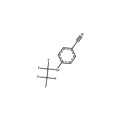 N#Cc1ccc([Se]C(F)(F)C(F)(F)F)cc1